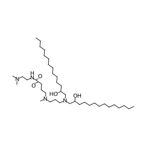 CCCCCCCCCCCCC(O)CN(CCCN(C)CCCS(=O)(=O)NCCN(C)C)CC(O)CCCCCCCCCCCC